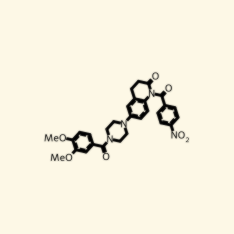 COc1ccc(C(=O)N2CCN(c3ccc4c(c3)CCC(=O)N4C(=O)c3ccc([N+](=O)[O-])cc3)CC2)cc1OC